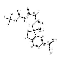 C=C(NC(=O)OC(C)(C)C)N(C)C(=O)C[C@@]1(N)CCc2ccc([N+](=O)[O-])cc21